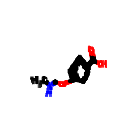 CNCOc1ccc(C(=O)O)cc1